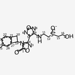 O=c1onc(-c2nonc2NCC[S+]([O-])CCO)n1C1Cc2ccc(F)cc21